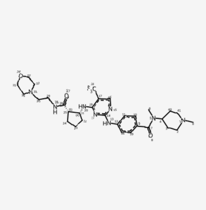 CN1CCC(N(C)C(=O)c2ccc(Nc3ncc(C(F)(F)F)c(N[C@@H]4CCC[C@@H]4C(=O)NCCN4CCOCC4)n3)cc2)CC1